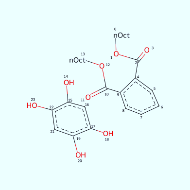 CCCCCCCCOC(=O)c1ccccc1C(=O)OCCCCCCCC.Oc1cc(O)c(O)cc1O